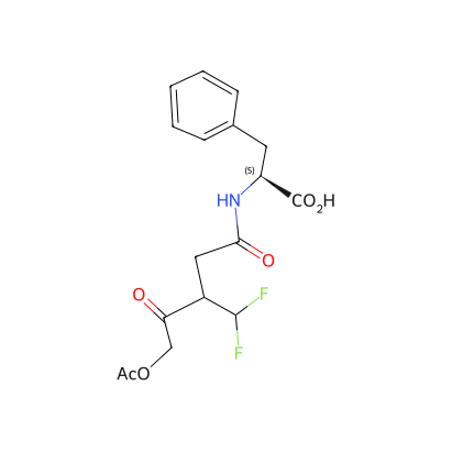 CC(=O)OCC(=O)C(CC(=O)N[C@@H](Cc1ccccc1)C(=O)O)C(F)F